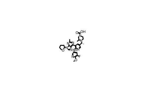 COc1ncc(Nc2ncc([C@@H](C)N3CCN(C(=O)O)CC3C)cc2-c2nc(C)nc3c2ncn3C2CCCCO2)cc1F